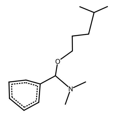 CC(C)CCCOC(c1ccccc1)N(C)C